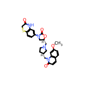 COc1ccc2ccc(=O)n(C[C@@H]3CCN(C[C@@H]4CN(c5ccc6c(c5)NC(=O)CS6)C(=O)O4)C3)c2c1